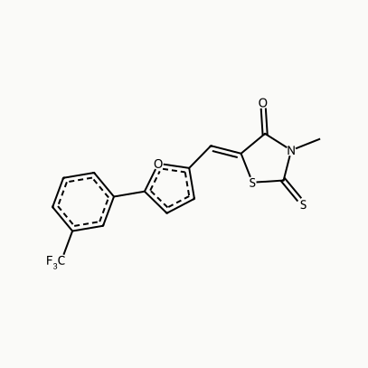 CN1C(=O)C(=Cc2ccc(-c3cccc(C(F)(F)F)c3)o2)SC1=S